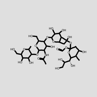 CC(=O)NC1C(OC2C(C)OC(CO)C(O)C2O)OC(CO)C(OC2OC3CC(O)(OC4(OC=O)CC(O)C(C)C([C@H](O)C(O)CO)O4)C3C(O)C2O)C1O